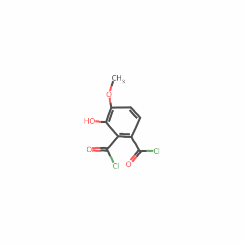 COc1ccc(C(=O)Cl)c(C(=O)Cl)c1O